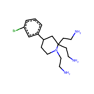 NCCN1CCC(c2cccc(Br)c2)CC1(CCN)CCN